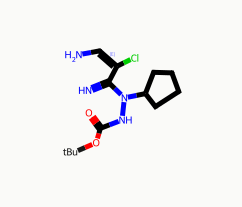 CC(C)(C)OC(=O)NN(C(=N)/C(Cl)=C\N)C1CCCC1